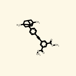 COC(=O)c1cc(C#Cc2ccc(C34CC5CC(C)(CC(C)(C5)C3)C4)cc2)cc(C(=O)OC)c1